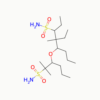 CCCC(OC(CCC)C(C)(C)S(N)(=O)=O)C(C)(CC)C(CC)S(N)(=O)=O